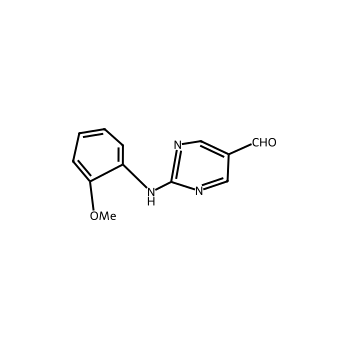 COc1ccccc1Nc1ncc(C=O)cn1